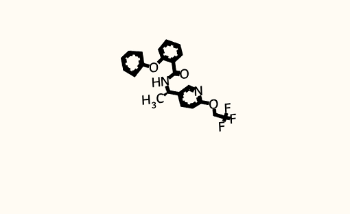 C[C@@H](NC(=O)c1ccccc1Oc1ccccc1)c1ccc(OCC(F)(F)F)nc1